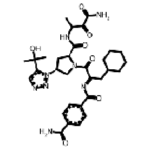 CC(NC(=O)[C@@H]1C[C@H](n2nncc2C(C)(C)O)CN1C(=O)/C(CC1CCCCC1)=N/C(=O)c1ccc(C(N)=O)cc1)C(=O)C(N)=O